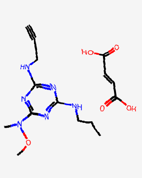 C#CCNc1nc(NCCC)nc(N(C)OC)n1.O=C(O)C=CC(=O)O